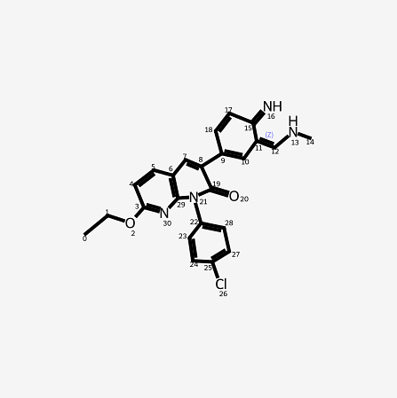 CCOc1ccc2cc(C3=C/C(=C/NC)C(=N)C=C3)c(=O)n(-c3ccc(Cl)cc3)c2n1